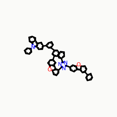 c1ccc(-c2ccc3oc4cc(-c5nc(-c6ccccc6)nc(-c6cccc7oc8ccc(-c9cccc(-c%10cccc(-c%11ccc%12c(c%11)c%11ccccc%11n%12-c%11ccccc%11)c%10)c9)cc8c67)n5)ccc4c3c2)cc1